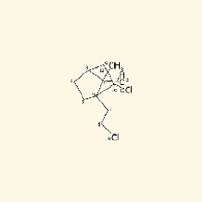 CC1(C)C2CCC1(CCCl)C(Cl)C2